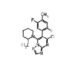 Cc1cc(F)c(-c2c(Cl)nc3ncnn3c2N2CCCCC2C)cc1F